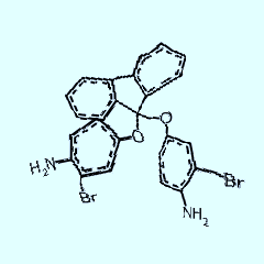 Nc1ccc(OC2(Oc3ccc(N)c(Br)c3)c3ccccc3-c3ccccc32)cc1Br